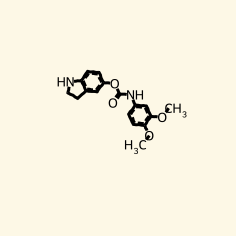 COc1ccc(NC(=O)Oc2ccc3c(c2)CCN3)cc1OC